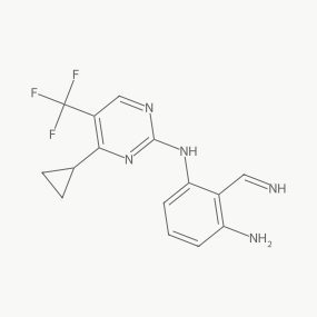 N=Cc1c(N)cccc1Nc1ncc(C(F)(F)F)c(C2CC2)n1